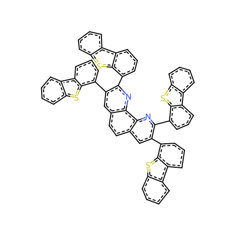 c1ccc2c(c1)sc1c(-c3cc4ccc5cc(-c6cccc7c6sc6ccccc67)c(-c6cccc7c6sc6ccccc67)nc5c4nc3-c3cccc4c3sc3ccccc34)cccc12